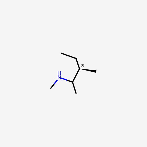 CC[C@@H](C)C(C)NC